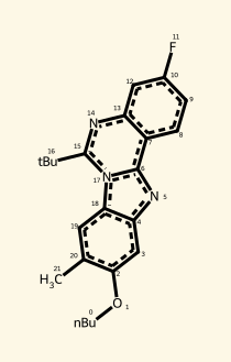 CCCCOc1cc2nc3c4ccc(F)cc4nc(C(C)(C)C)n3c2cc1C